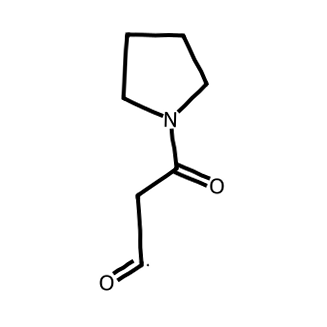 O=[C]CC(=O)N1CCCC1